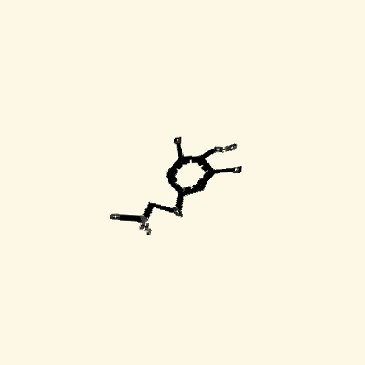 O=Cc1c(Cl)cc(OC[PH2]=O)cc1Cl